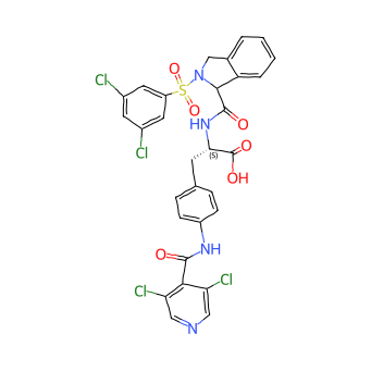 O=C(Nc1ccc(C[C@H](NC(=O)C2c3ccccc3CN2S(=O)(=O)c2cc(Cl)cc(Cl)c2)C(=O)O)cc1)c1c(Cl)cncc1Cl